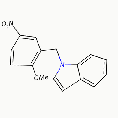 COc1ccc([N+](=O)[O-])cc1Cn1ccc2ccccc21